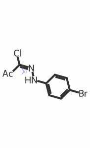 CC(=O)/C(Cl)=N\Nc1ccc(Br)cc1